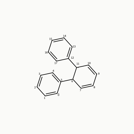 [c]1ccccc1C1C=CC=C[C]1c1ccccc1